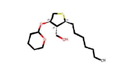 N#CCCCCCC[C@@H]1SC[C@H](OC2CCCCO2)[C@H]1CO